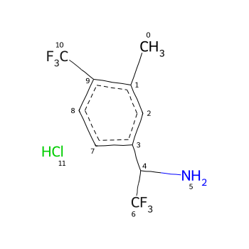 Cc1cc(C(N)C(F)(F)F)ccc1C(F)(F)F.Cl